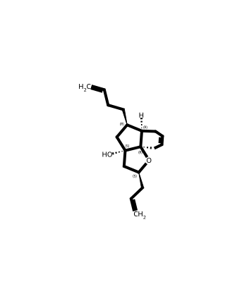 C=CCC[C@@H]1C[C@]2(O)C[C@H](CC=C)O[C@@]23CC=CC[C@H]13